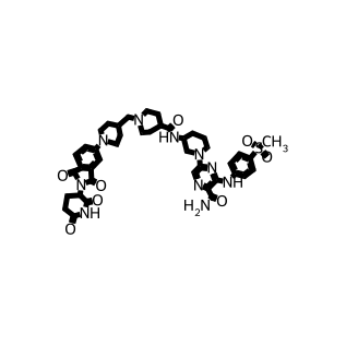 CS(=O)(=O)c1ccc(Nc2nc(N3CCCC(NC(=O)C4CCN(CC5CCN(c6ccc7c(c6)C(=O)N(C6CCC(=O)NC6=O)C7=O)CC5)CC4)C3)cnc2C(N)=O)cc1